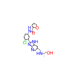 C[C@@H](CO)NCc1cnc2nc(-c3cc(NC(=O)c4ccco4)ccc3Cl)[nH]c2c1